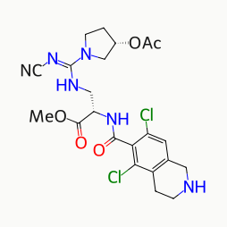 COC(=O)[C@H](CN/C(=N\C#N)N1CC[C@H](OC(C)=O)C1)NC(=O)c1c(Cl)cc2c(c1Cl)CCNC2